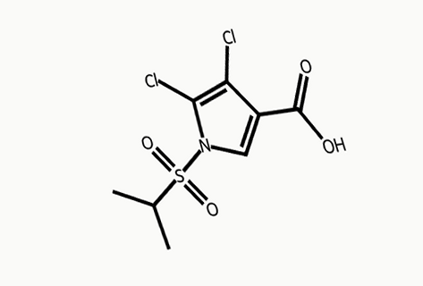 CC(C)S(=O)(=O)n1cc(C(=O)O)c(Cl)c1Cl